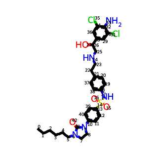 CCCCCCN1CCN(c2ccc(S(=O)(=O)Nc3ccc(CCNCC(O)c4cc(Cl)c(N)c(Cl)c4)cc3)cc2)C1=O